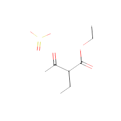 CCOC(=O)C(CC)C(C)=O.O=S(O)O